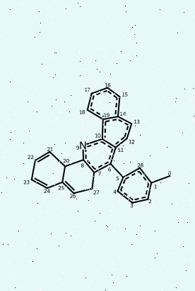 Cc1cccc(-c2c3c(nc4c2ccc2ccccc24)C2C=CC=CC2=CC3)c1